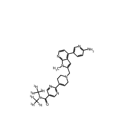 [2H]C([2H])([2H])N(C(=O)c1cnc(C2=CCN(Cc3cc4c(-c5ccc(N)nc5)ccnc4n3C)CC2)nc1)C([2H])([2H])[2H]